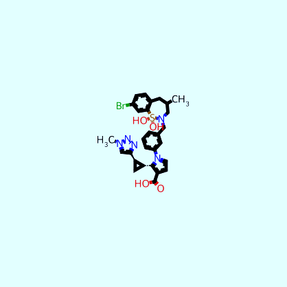 CC1Cc2ccc(Br)cc2S(O)(O)N(Cc2cccc(-n3ccc(C(=O)O)c3[C@@H]3C[C@H]3c3cn(C)nn3)c2)C1